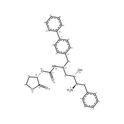 N[C@H](Cc1ccccc1)[C@@H](O)CN(Cc1ccc(-c2ccccn2)cc1)NC(=O)O[C@H]1CCOC1=O